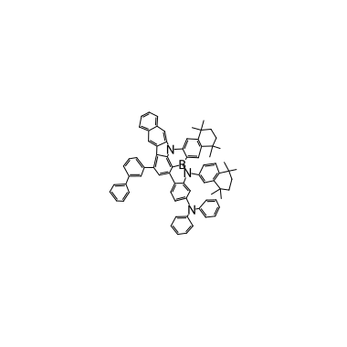 CC1(C)CCC(C)(C)c2cc(N3B4c5cc6c(cc5-n5c7cc8ccccc8cc7c7c(-c8cccc(-c9ccccc9)c8)cc(c4c75)-c4ccc(N(c5ccccc5)c5ccccc5)cc43)C(C)(C)CCC6(C)C)ccc21